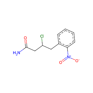 NC(=O)CC(Cl)Cc1ccccc1[N+](=O)[O-]